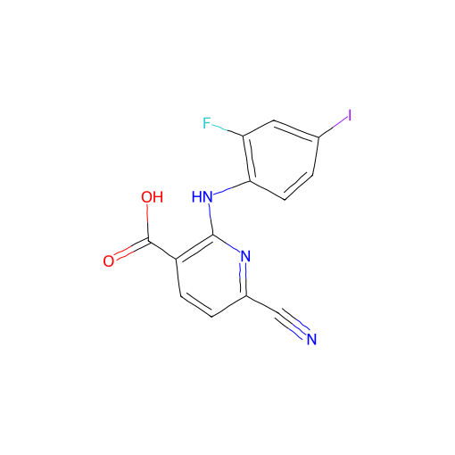 N#Cc1ccc(C(=O)O)c(Nc2ccc(I)cc2F)n1